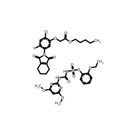 CCCCCOC(=O)COc1cc(N2C(=O)C3=C(CCCC3)C2=O)c(F)cc1Cl.CCOc1ccccc1OS(=O)(=O)NC(=O)Nc1nc(OC)cc(OC)n1